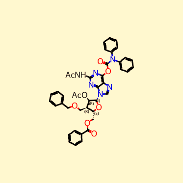 CC(=O)Nc1nc(OC(=O)N(c2ccccc2)c2ccccc2)c2ncn([C@@H]3O[C@H](COC(=O)c4ccccc4)[C@@H](COCc4ccccc4)[C@H]3OC(C)=O)c2n1